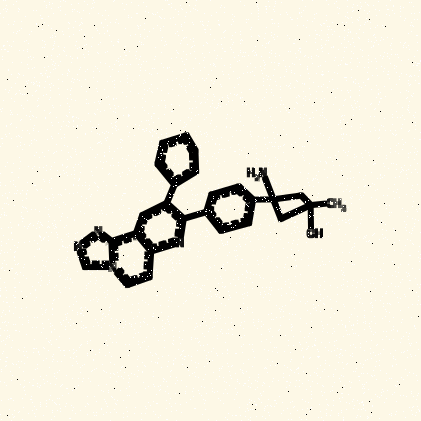 CC1(O)CC(N)(c2ccc(-c3nc4ccn5cnnc5c4cc3-c3ccccc3)cc2)C1